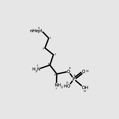 CCCCCCCCCCC(N)C(N)OP(=O)(O)O